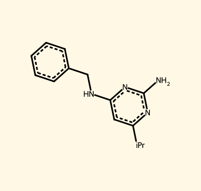 CC(C)c1cc(NCc2ccccc2)nc(N)n1